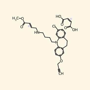 C#CCOc1ccc2c(c1)CCc1ccc(Cl)cc1N2CCCCNC/C=C/C(=O)OC.O=C(O)/C=C\C(=O)O